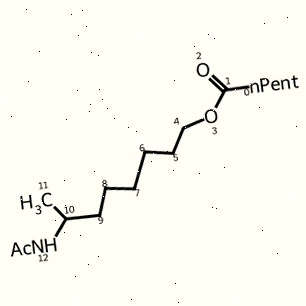 CCCCCC(=O)OCCCCCCC(C)NC(C)=O